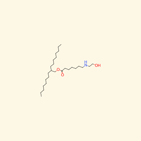 CCCCCCCCC(CCCCCCCC)COC(=O)CCCCCCNCCO